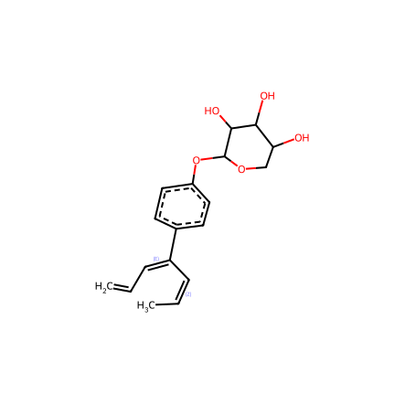 C=C/C=C(\C=C/C)c1ccc(OC2OCC(O)C(O)C2O)cc1